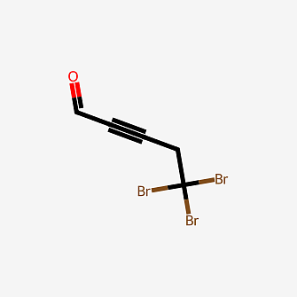 O=CC#CCC(Br)(Br)Br